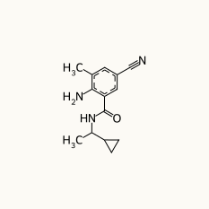 Cc1cc(C#N)cc(C(=O)NC(C)C2CC2)c1N